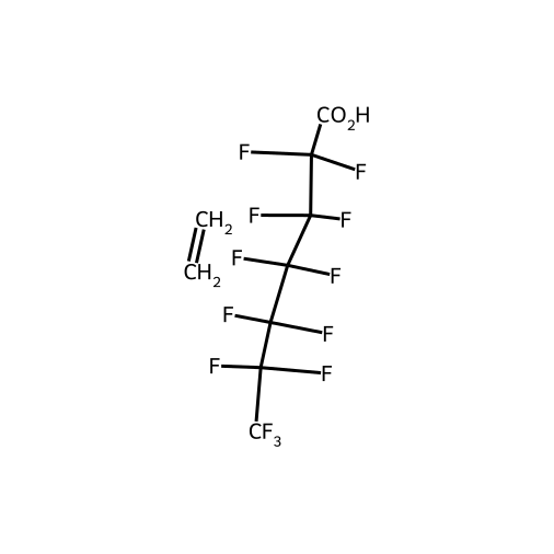 C=C.O=C(O)C(F)(F)C(F)(F)C(F)(F)C(F)(F)C(F)(F)C(F)(F)F